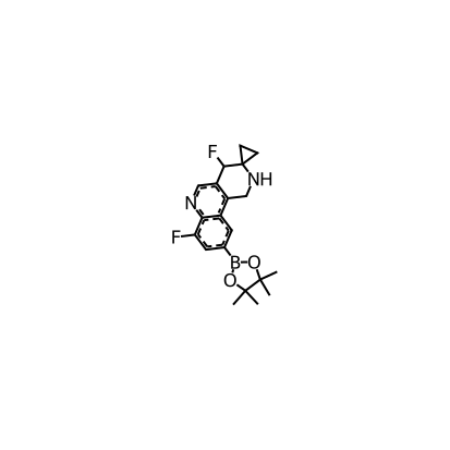 CC1(C)OB(c2cc(F)c3ncc4c(c3c2)CNC2(CC2)C4F)OC1(C)C